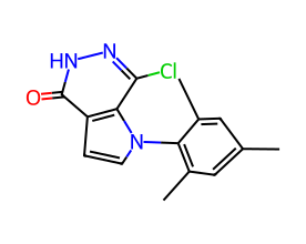 Cc1cc(C)c(-n2ccc3c(=O)[nH]nc(Cl)c32)c(C)c1